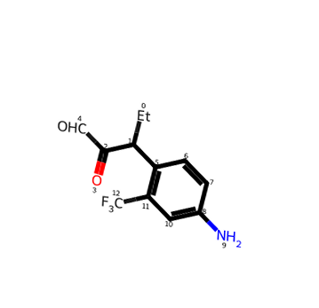 CCC(C(=O)C=O)c1ccc(N)cc1C(F)(F)F